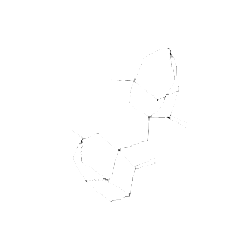 O=C1C2CC3CC(O)(C2)CC1(CC12CC4CC(CC(O)(C4)C1)C2=O)C3